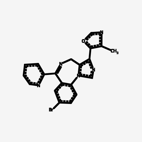 Cc1ncoc1-c1ncn2c1CN=C(c1ccccn1)c1cc(Br)ccc1-2